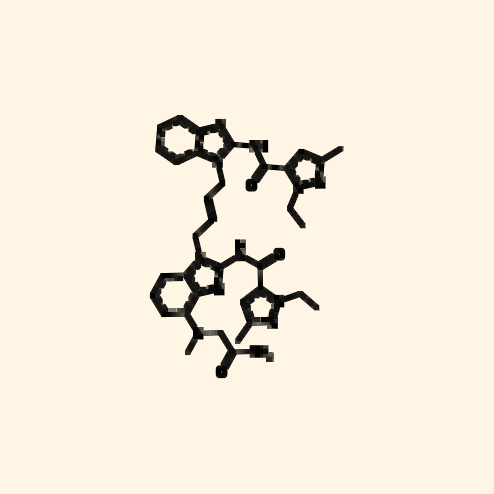 CCn1nc(C)cc1C(=O)Nc1nc2ccccc2n1C/C=C/Cn1c(NC(=O)c2cc(C)nn2CC)nc2c(N(C)CC(N)=O)cccc21